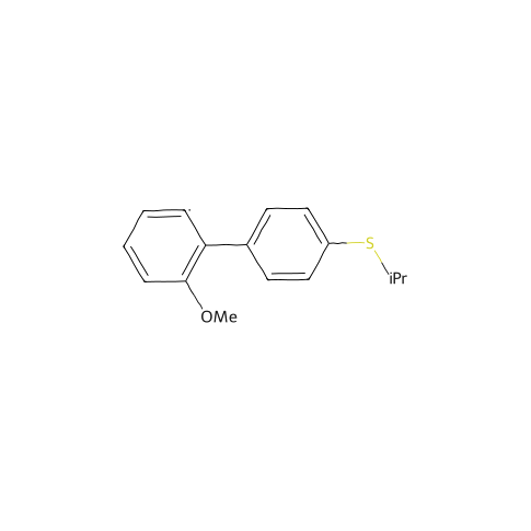 COc1ccc[c]c1-c1ccc(SC(C)C)cc1